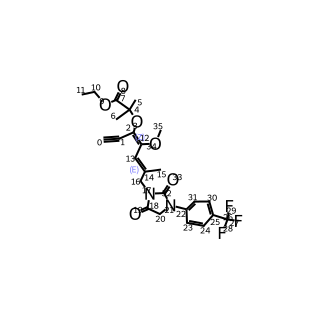 C#C/C(OC(C)(C)C(=O)OCC)=C(\C=C(/C)CN1C(=O)CN(c2ccc(C(F)(F)F)cc2)C1=O)OC